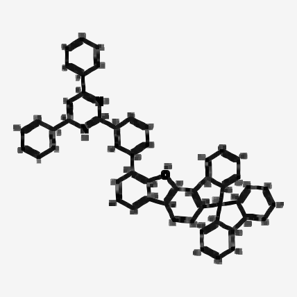 c1ccc(-c2cc(-c3ccccc3)nc(-c3cccc(-c4cccc5c4oc4c6c(ccc45)C4(c5ccccc5-c5ccccc54)c4ccccc4-6)c3)n2)cc1